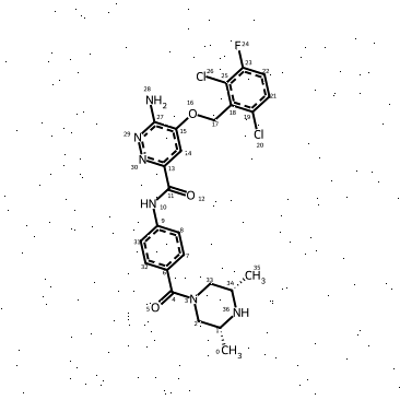 C[C@@H]1CN(C(=O)c2ccc(NC(=O)c3cc(OCc4c(Cl)ccc(F)c4Cl)c(N)nn3)cc2)C[C@H](C)N1